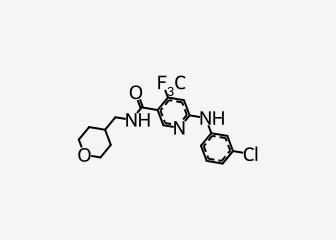 O=C(NCC1CCOCC1)c1cnc(Nc2cccc(Cl)c2)cc1C(F)(F)F